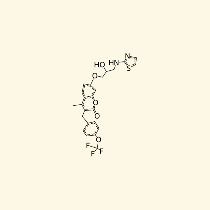 Cc1c(Cc2ccc(OC(F)(F)F)cc2)c(=O)oc2cc(OCC(O)CNc3nccs3)ccc12